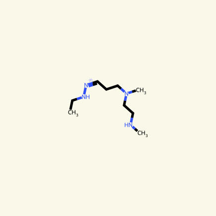 CCN/N=C\CCN(C)CCNC